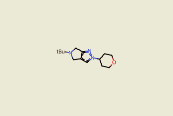 CC(C)(C)N1Cc2cn(C3CCOCC3)nc2C1